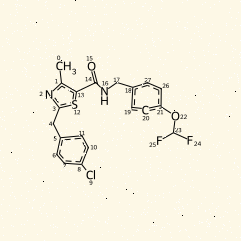 Cc1nc(Cc2ccc(Cl)cc2)sc1C(=O)NCc1ccc(OC(F)F)cc1